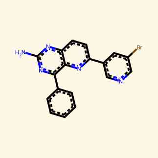 Nc1nc(-c2ccccc2)c2nc(-c3cncc(Br)c3)ccc2n1